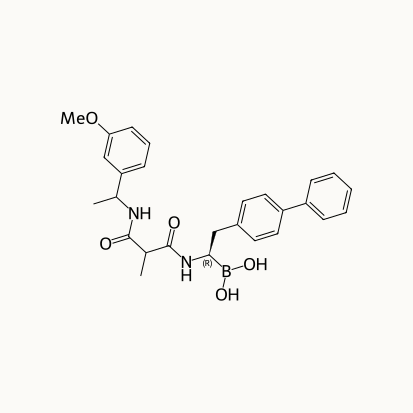 COc1cccc(C(C)NC(=O)C(C)C(=O)N[C@@H](Cc2ccc(-c3ccccc3)cc2)B(O)O)c1